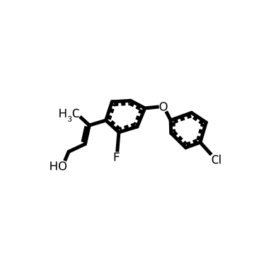 CC(=CCO)c1ccc(Oc2ccc(Cl)cc2)cc1F